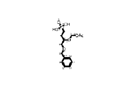 CC(=O)OCOC(CCP(=O)(O)O)COCc1ccccc1